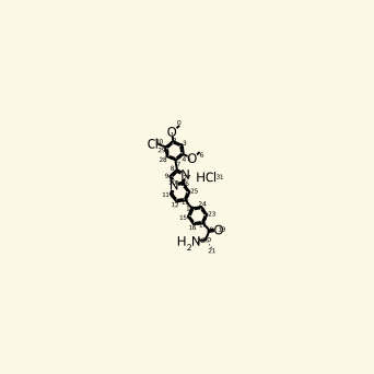 COc1cc(OC)c(-c2cn3ccc(-c4ccc(C(=O)[C@H](C)N)cc4)cc3n2)cc1Cl.Cl